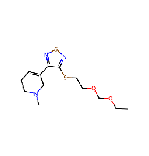 CCOCOCCSc1nsnc1C1=CCCN(C)C1